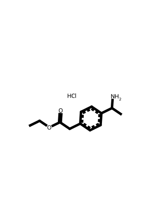 CCOC(=O)Cc1ccc(C(C)N)cc1.Cl